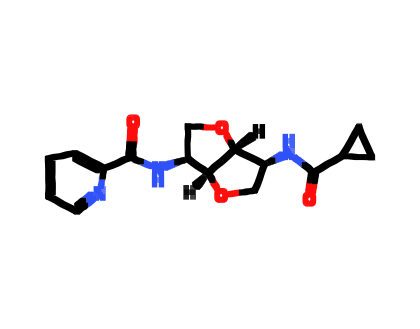 O=C(N[C@H]1CO[C@H]2[C@@H]1OC[C@@H]2NC(=O)C1CC1)c1ccccn1